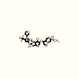 CNc1cn2ncc(Oc3cnc4nc(Nc5cc(C(F)(F)F)n(C6CCOC6)n5)n(C)c4c3Cl)c2cn1